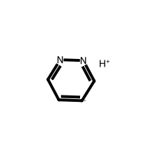 [H+].[c]1ccnnc1